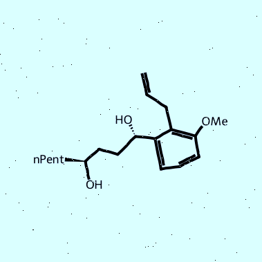 C=CCc1c(OC)cccc1[C@@H](O)CC[C@@H](O)CCCCC